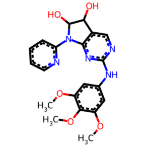 COc1cc(Nc2ncc3c(n2)N(c2ccccn2)C(O)C3O)cc(OC)c1OC